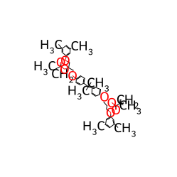 C=C(C)C(=O)OC(COc1ccc(C(C)(C)c2ccc(OCC(COc3cc(C)cc(C)c3)OC(=O)C(=C)C)cc2)cc1)COc1cc(C)cc(C)c1